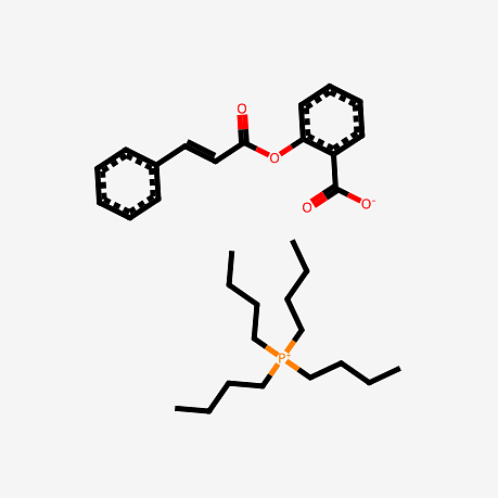 CCCC[P+](CCCC)(CCCC)CCCC.O=C(C=Cc1ccccc1)Oc1ccccc1C(=O)[O-]